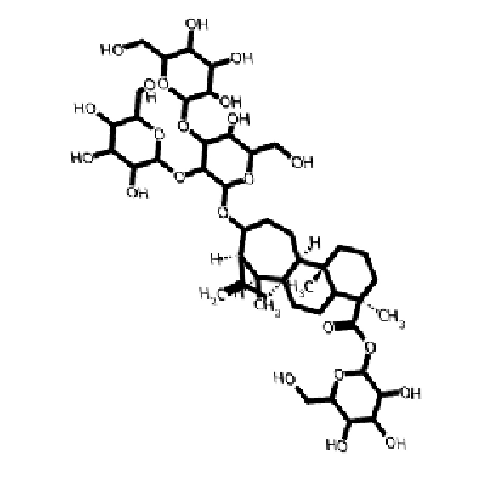 C=C1C[C@@]23CCC4[C@](C)(C(=O)OC5OC(CO)C(O)C(O)C5O)CCC[C@@]4(C)[C@@H]2CCC(OC2OC(CO)C(O)C(OC4OC(CO)C(O)C(O)C4O)C2OC2OC(CO)C(O)C(O)C2O)[C@H]1[C@@H]3C